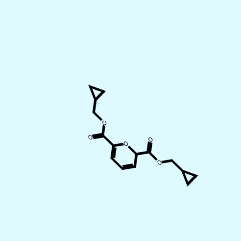 O=C(OCC1CC1)C1=CC=CC(C(=O)OCC2CC2)O1